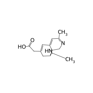 CC1=NCC23NC(C)CC2CC(CC(=O)O)=CC3=C1